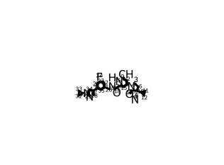 Cc1cc(N2CC[C@@](C#N)(C3CC3)C2=O)cc(C(=O)NCc2cc(F)cc(-c3cnn(C4CC4)c3)c2)n1